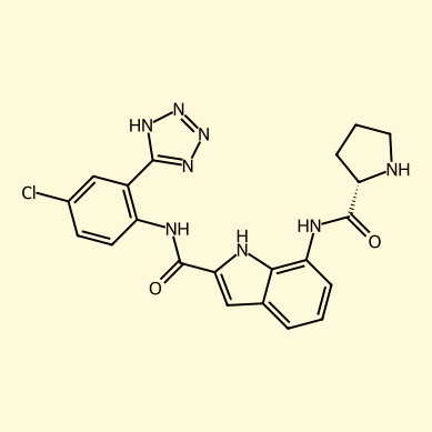 O=C(Nc1ccc(Cl)cc1-c1nnn[nH]1)c1cc2cccc(NC(=O)[C@@H]3CCCN3)c2[nH]1